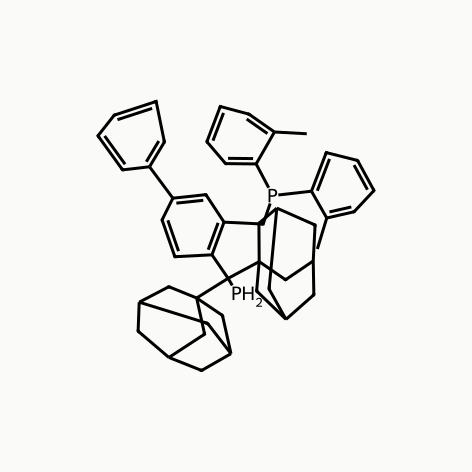 Cc1ccccc1P(Cc1cc(-c2ccccc2)ccc1C(P)(C12CC3CC(CC(C3)C1)C2)C12CC3CC(CC(C3)C1)C2)c1ccccc1C